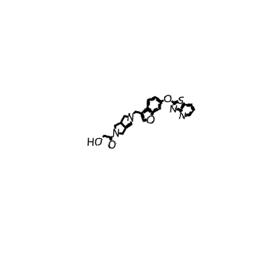 O=C(CO)N1CC2=CN(Cc3coc4cc(Oc5nc6ncccc6s5)ccc34)CC2C1